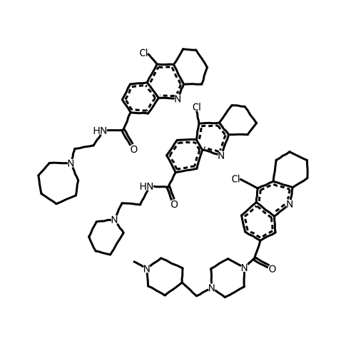 CN1CCC(CN2CCN(C(=O)c3ccc4c(Cl)c5c(nc4c3)CCCC5)CC2)CC1.O=C(NCCN1CCCCC1)c1ccc2c(Cl)c3c(nc2c1)CCCC3.O=C(NCCN1CCCCCC1)c1ccc2c(Cl)c3c(nc2c1)CCCC3